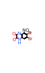 O=C1[N]c2c(cc(Br)c(Br)c2[N+](=O)[O-])NC1=O